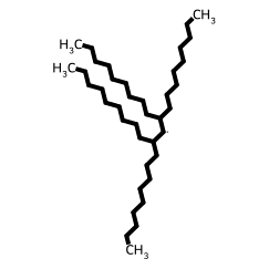 CCCCCCCCCC([CH]C(CCCCCCCCC)CCCCCCCCC)CCCCCCCCC